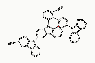 N#Cc1ccc2c(c1)c1ccccc1n2-c1ccc2c(c1)c1ccccc1n2-c1cccc(C#N)c1-c1ccc(-n2c3ccccc3c3ccccc32)cc1